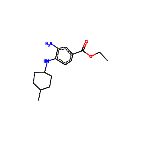 CCOC(=O)c1ccc(NC2CCC(C)CC2)c(N)c1